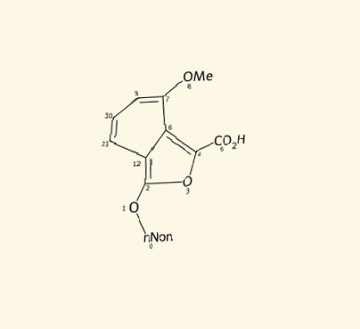 CCCCCCCCCOc1oc(C(=O)O)c2c(OC)cccc12